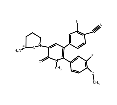 COc1ccc(-c2c(-c3ccc(C#N)c(F)c3)cc(N3CCC[C@H](N)C3)c(=O)n2C)cc1F